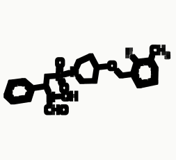 Cc1cccc(COC2CCN(S(=O)(=O)CC(c3ccccc3)N(O)C=O)CC2)c1F